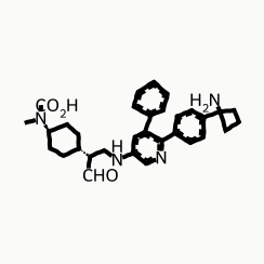 CN(C(=O)O)[C@H]1CC[C@H](C(C=O)CNc2cnc(-c3ccc(C4(N)CCC4)cc3)c(-c3ccccc3)c2)CC1